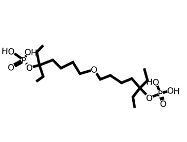 CCC(CC)(CCCCOCCCCC(CC)(CC)OP(=O)(O)O)OP(=O)(O)O